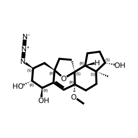 CO[C@]12C=C3[C@@H](O)[C@H](O)[C@@H](N=[N+]=[N-])C[C@]34CC[C@]1(O4)[C@@H]1CC[C@H](O)[C@@]1(C)CC2